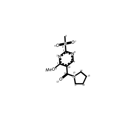 COc1nc(S(C)(=O)=O)ncc1C(=O)N1CCCC1